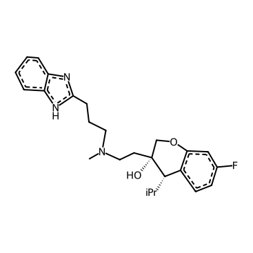 CC(C)[C@H]1c2ccc(F)cc2OC[C@]1(O)CCN(C)CCCc1nc2ccccc2[nH]1